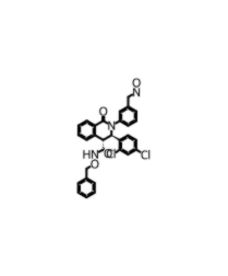 O=NCc1cccc(N2C(=O)c3ccccc3[C@@H](C(=O)NOCc3ccccc3)[C@@H]2c2ccc(Cl)cc2Cl)c1